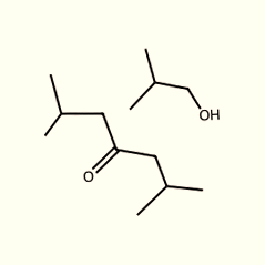 CC(C)CC(=O)CC(C)C.CC(C)CO